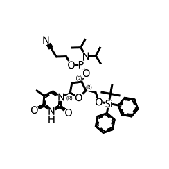 Cc1cn([C@H]2C[C@H](OP(OCCC#N)N(C(C)C)C(C)C)[C@@H](CO[Si](c3ccccc3)(c3ccccc3)C(C)(C)C)O2)c(=O)[nH]c1=O